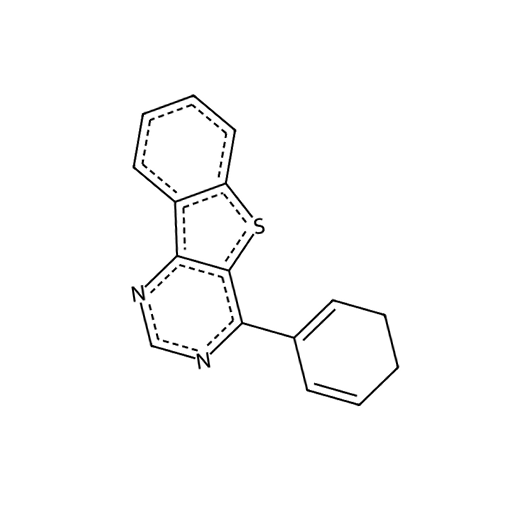 C1=CC(c2ncnc3c2sc2ccccc23)=CCC1